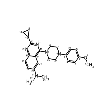 COc1ccc(N2CCN(c3nc(C4CC4)nc4ccc(N(C)C)cc34)CC2)cc1